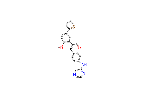 COc1ccc(-c2cccs2)cc1C(C=O)=Cc1ccc(Nc2cnccn2)cc1